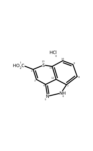 Cl.O=C(O)C1=Cc2n[nH]c3cccc(c23)S1